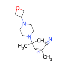 C/C(C#N)=C/C(C)(C)N1CCN(C2COC2)CC1